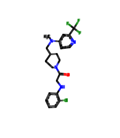 CN(CC1CCN(C(=O)CNc2ccccc2Cl)CC1)c1ccnc(C(F)(F)F)c1